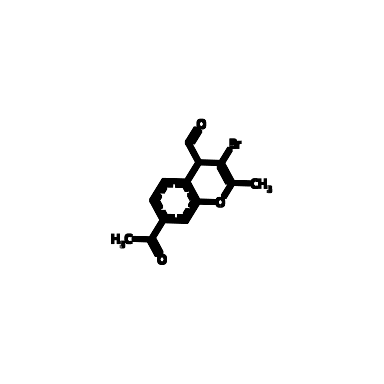 CC(=O)c1ccc2c(c1)OC(C)=C(Br)C2C=O